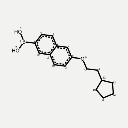 OB(O)c1ccc2cc(OCCC3CCCC3)ccc2c1